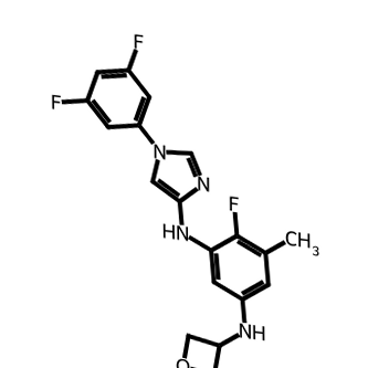 Cc1cc(NC2COC2)cc(Nc2cn(-c3cc(F)cc(F)c3)cn2)c1F